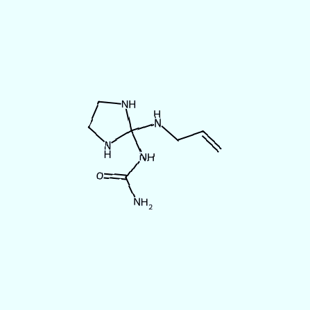 C=CCNC1(NC(N)=O)NCCN1